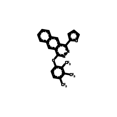 FC(F)(F)c1ccc(Oc2nnc(-c3ccco3)c3cc4ccccc4cc23)c(C(F)(F)F)c1C(F)(F)F